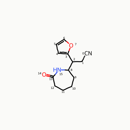 N#CCC(c1ccco1)C1CCCCC(=O)N1